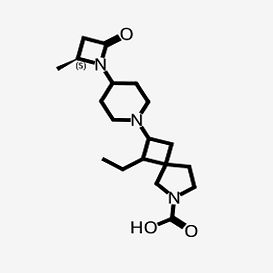 CCC1C(N2CCC(N3C(=O)C[C@@H]3C)CC2)CC12CCN(C(=O)O)C2